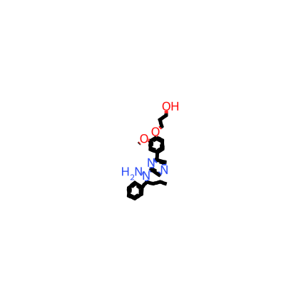 CCCC(c1ccccc1)N(N)c1cncc(-c2ccc(OCCCO)c(OC)c2)n1